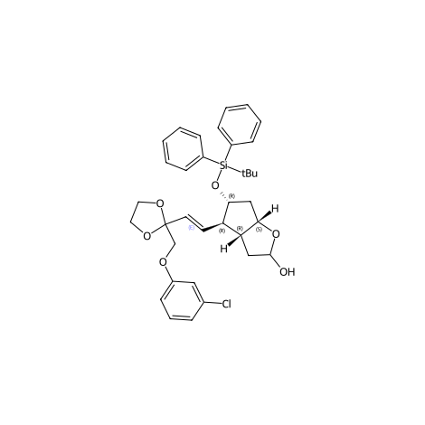 CC(C)(C)[Si](O[C@@H]1C[C@@H]2OC(O)C[C@@H]2[C@H]1/C=C/C1(COc2cccc(Cl)c2)OCCO1)(c1ccccc1)c1ccccc1